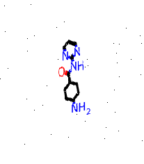 NC1CCC(C(=O)Nc2ncccn2)CC1